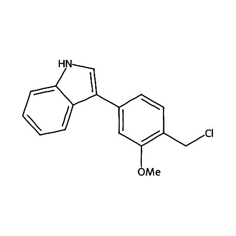 COc1cc(-c2c[nH]c3ccccc23)ccc1CCl